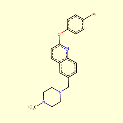 CC(C)c1ccc(Oc2ccc3cc(CN4CCN(C(=O)O)CC4)ccc3n2)cc1